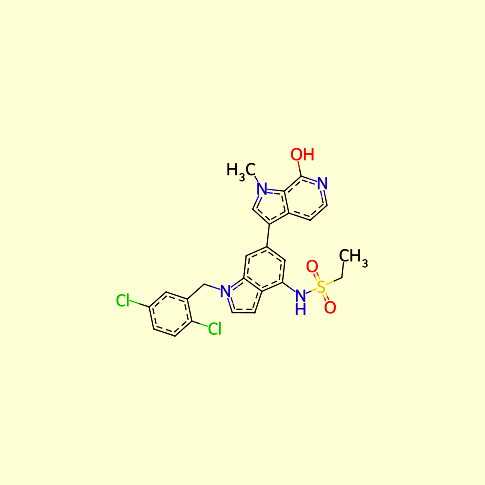 CCS(=O)(=O)Nc1cc(-c2cn(C)c3c(O)nccc23)cc2c1ccn2Cc1cc(Cl)ccc1Cl